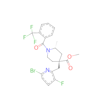 COC(=O)[C@]1(Cc2nc(Br)ccc2F)CCN(C(=O)c2ccccc2C(F)(F)F)[C@H](C)C1